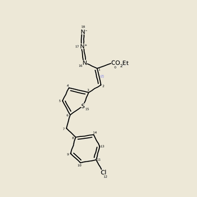 CCOC(=O)/C(=C/c1ccc(Cc2ccc(Cl)cc2)s1)N=[N+]=[N-]